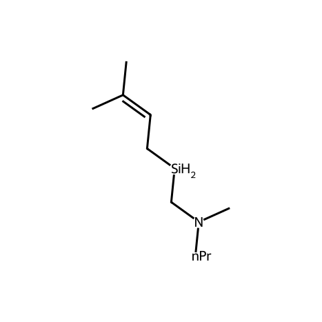 CCCN(C)C[SiH2]CC=C(C)C